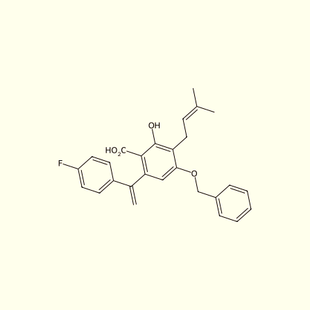 C=C(c1ccc(F)cc1)c1cc(OCc2ccccc2)c(CC=C(C)C)c(O)c1C(=O)O